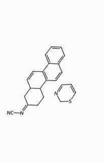 C1=CSCN=C1.N#CN=C1CCC2c3ccc4ccccc4c3C=CC2C1